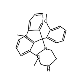 COc1ccccc1C(c1ccccc1OC)(c1ccccc1OC)N1CCNCC1